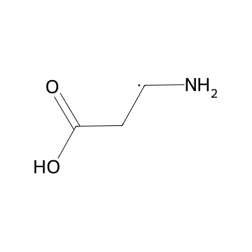 N[CH]CC(=O)O